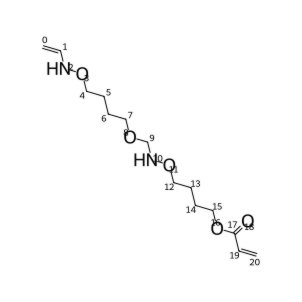 C=CNOCCCCOCNOCCCCOC(=O)C=C